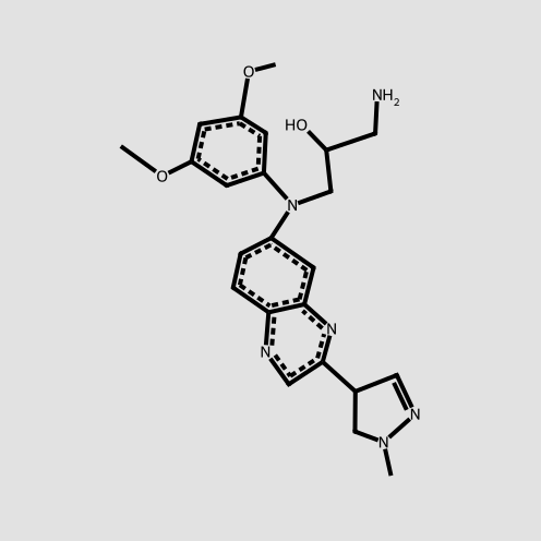 COc1cc(OC)cc(N(CC(O)CN)c2ccc3ncc(C4C=NN(C)C4)nc3c2)c1